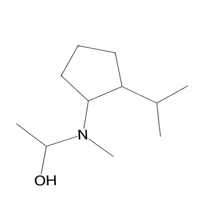 CC(C)C1CCCC1N(C)C(C)O